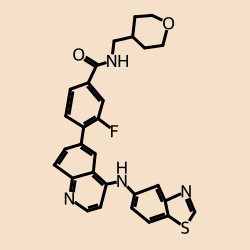 O=C(NCC1CCOCC1)c1ccc(-c2ccc3nccc(Nc4ccc5scnc5c4)c3c2)c(F)c1